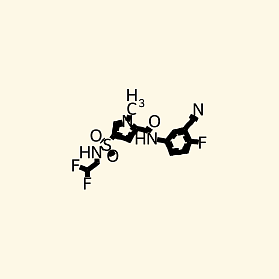 Cn1cc(S(=O)(=O)NCC(F)F)cc1C(=O)Nc1ccc(F)c(C#N)c1